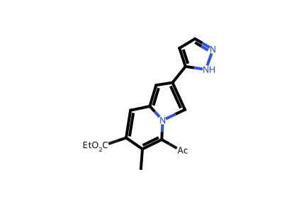 CCOC(=O)c1cc2cc(-c3ccn[nH]3)cn2c(C(C)=O)c1C